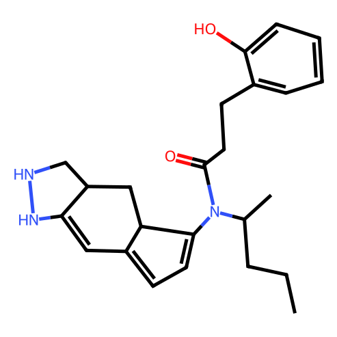 CCCC(C)N(C(=O)CCc1ccccc1O)C1=CC=C2C=C3NNCC3CC21